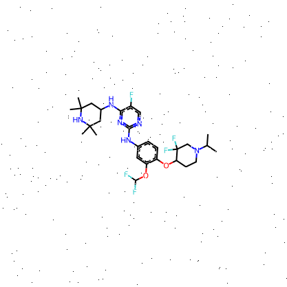 CC(C)N1CCC(Oc2ccc(Nc3ncc(F)c(NC4CC(C)(C)NC(C)(C)C4)n3)cc2OC(F)F)C(F)(F)C1